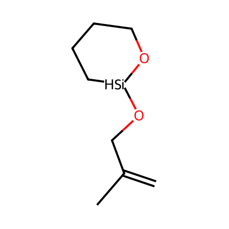 C=C(C)CO[SiH]1CCCCO1